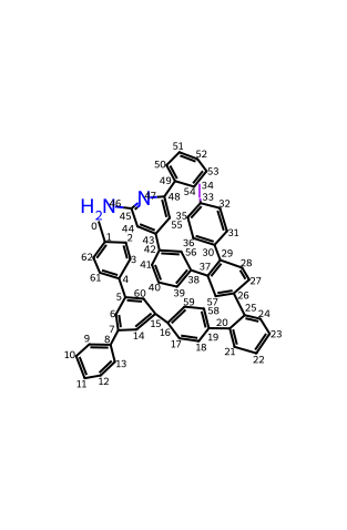 Cc1ccc(-c2cc(-c3ccccc3)cc(-c3ccc(-c4ccccc4-c4ccc(-c5ccc(I)cc5)c(-c5cccc(-c6cc(N)nc(-c7ccccc7)c6)c5)c4)cc3)c2)cc1